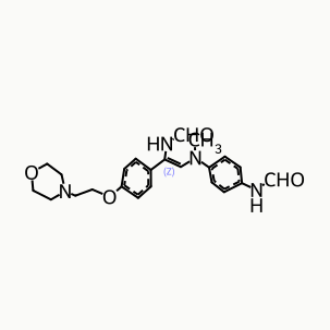 CN(/C=C(\NC=O)c1ccc(OCCN2CCOCC2)cc1)c1ccc(NC=O)cc1